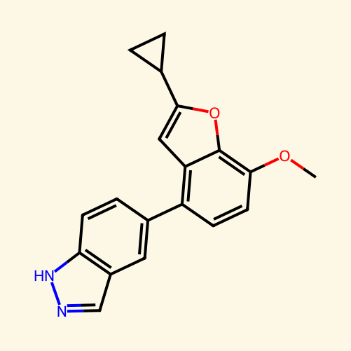 COc1ccc(-c2ccc3[nH]ncc3c2)c2cc(C3CC3)oc12